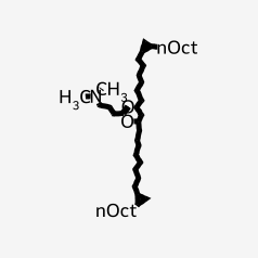 CCCCCCCCC1CC1CCCCCCCCC(CCCCCCCCC1CC1CCCCCCCC)OC(=O)CCCN(C)C